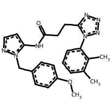 COc1ccc(Cn2nccc2NC(=O)CCc2nnnn2-c2cccc(C)c2C)cc1